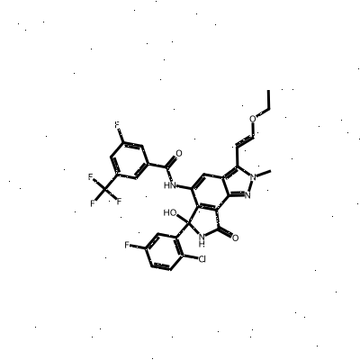 CCOC=Cc1c2cc(NC(=O)c3cc(F)cc(C(F)(F)F)c3)c3c(c2nn1C)C(=O)NC3(O)c1cc(F)ccc1Cl